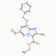 CCOC(=O)c1c(C)nc2c(CCc3ccccc3)cc(C=O)cn12